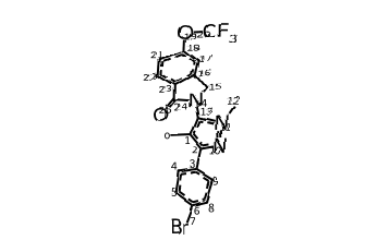 Cc1c(-c2ccc(Br)cc2)nn(C)c1N1Cc2cc(OC(F)(F)F)ccc2C1=O